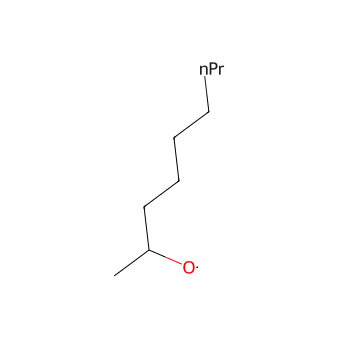 CCCCCCCC(C)[O]